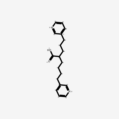 O=C(O)C(CCCCc1cccnc1)CCCc1cccnc1